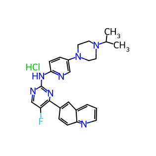 CC(C)N1CCN(c2ccc(Nc3ncc(F)c(-c4ccc5ncccc5c4)n3)nc2)CC1.Cl